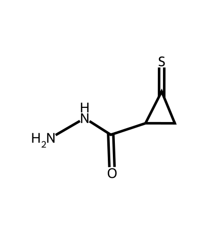 NNC(=O)C1CC1=S